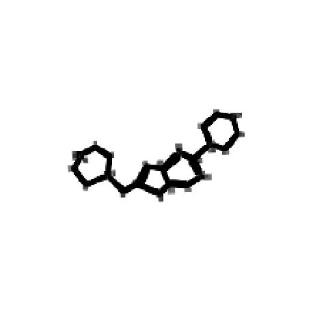 c1c(CN2CCNCC2)sc2cnc(N3CCOCC3)nc12